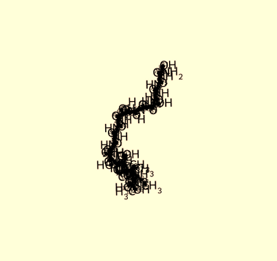 CC[C@H](C)[C@H](NC(=O)[C@H](CC(=O)O)NC(=O)[C@H](CO)NC(=O)[C@H](CO)NC(=O)CNC(=O)CNC(=O)CNC(=O)CNC(=O)[C@H](CO)NC(=O)CNC(=O)CNC(=O)CNC(=O)[C@H](CO)NC(=O)CNC(=O)CNC(=O)CNC(=O)[C@@H](N)CO)C(=O)N[C@H](C(=O)N[C@@H](CCSC)C(=O)N[C@H](C(=O)O)[C@@H](C)O)C(C)C